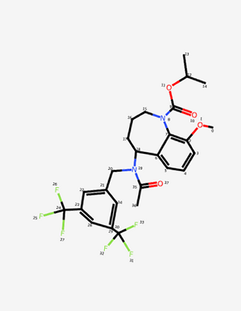 COc1cccc2c1N(C(=O)OC(C)C)CCCC2N(Cc1cc(C(F)(F)F)cc(C(F)(F)F)c1)C(C)=O